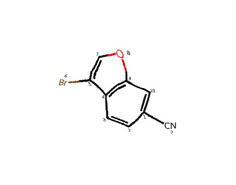 N#Cc1ccc2c(Br)coc2c1